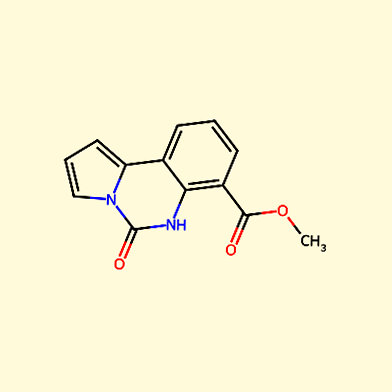 COC(=O)c1cccc2c1[nH]c(=O)n1cccc21